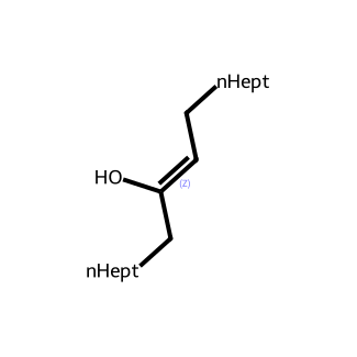 CCCCCCCC/C=C(\O)CCCCCCCC